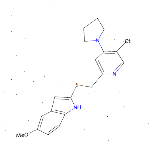 CCc1cnc(CSc2cc3cc(OC)ccc3[nH]2)cc1N1CCCC1